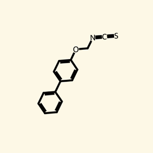 S=C=NCOc1ccc(-c2ccccc2)cc1